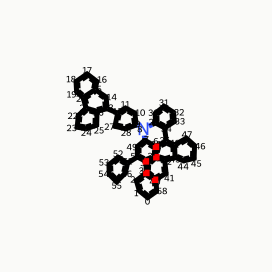 c1ccc(-c2ccc(N(c3ccc(-c4cc5ccccc5c5ccccc45)cc3)c3ccccc3-c3cc4ccccc4c4ccccc34)cc2-c2ccccc2)cc1